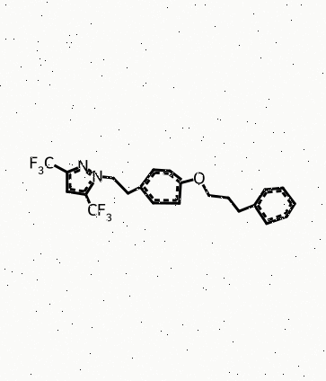 FC(F)(F)c1cc(C(F)(F)F)n(CCc2ccc(OCCCc3ccccc3)cc2)n1